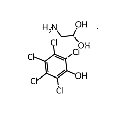 NCC(O)O.Oc1c(Cl)c(Cl)c(Cl)c(Cl)c1Cl